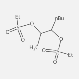 CCCCC(OS(=O)(=O)CC)C(C)OS(=O)(=O)CC